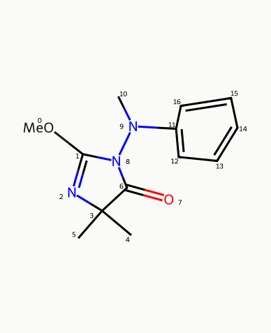 COC1=NC(C)(C)C(=O)N1N(C)c1ccccc1